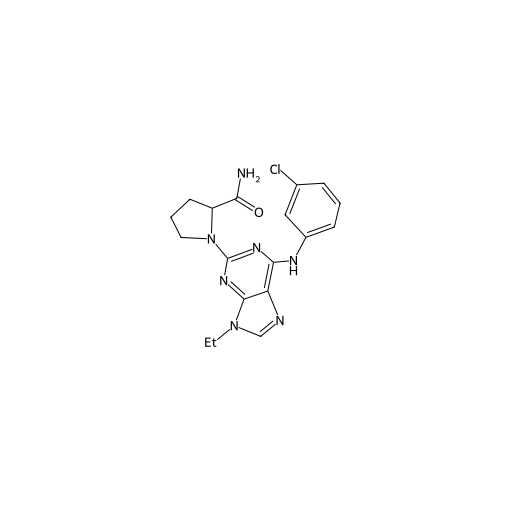 CCn1cnc2c(Nc3cccc(Cl)c3)nc(N3CCCC3C(N)=O)nc21